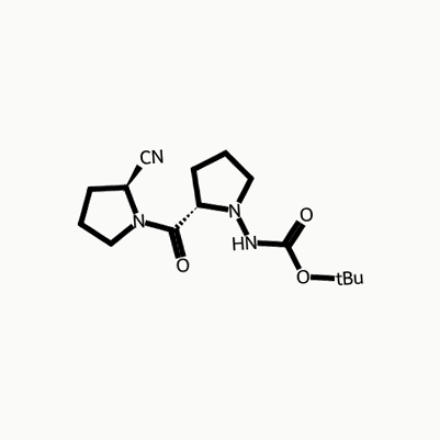 CC(C)(C)OC(=O)NN1CCC[C@H]1C(=O)N1CCC[C@H]1C#N